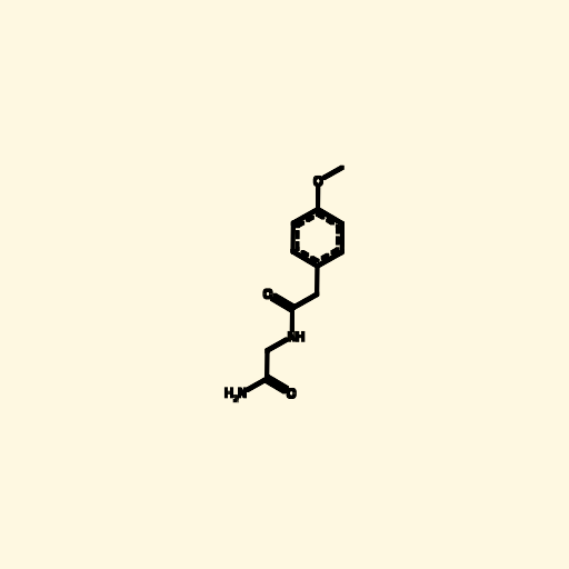 COc1ccc(CC(=O)NCC(N)=O)cc1